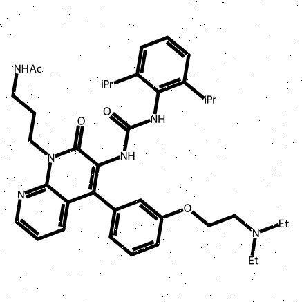 CCN(CC)CCOc1cccc(-c2c(NC(=O)Nc3c(C(C)C)cccc3C(C)C)c(=O)n(CCCNC(C)=O)c3ncccc23)c1